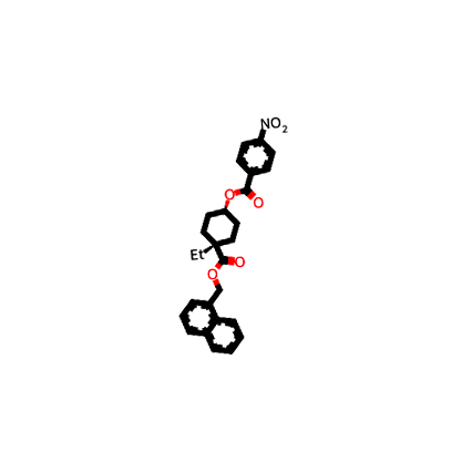 CC[C@]1(C(=O)OCc2cccc3ccccc23)CC[C@H](OC(=O)c2ccc([N+](=O)[O-])cc2)CC1